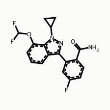 NC(=O)c1ccc(F)cc1-c1nn(C2CC2)c2c(OC(F)F)cccc12